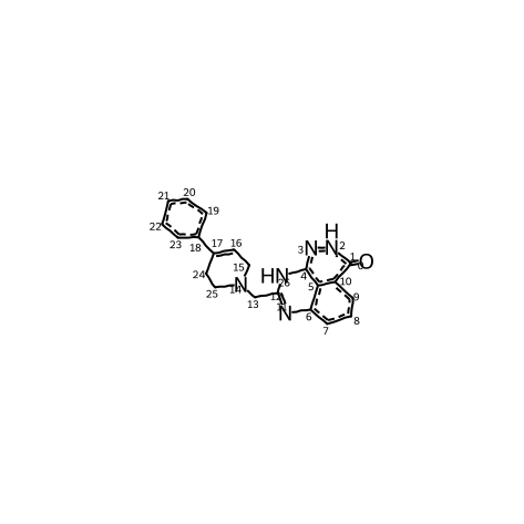 O=c1[nH]nc2c3c(cccc13)N=C(CN1CC=C(c3ccccc3)CC1)N2